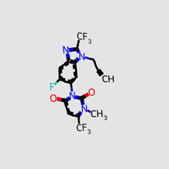 C#CCn1c(C(F)(F)F)nc2cc(F)c(-n3c(=O)cc(C(F)(F)F)n(C)c3=O)cc21